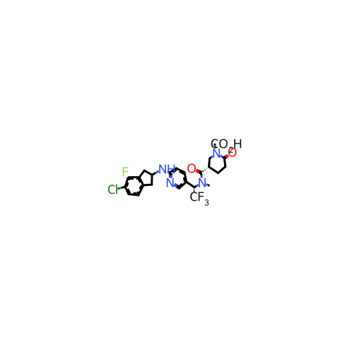 CN(C(=O)[C@H]1CCC(=O)N(C(=O)O)C1)[C@@H](c1ccc(NC2Cc3ccc(Cl)c(F)c3C2)nc1)C(F)(F)F